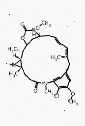 COc1cc2cc(c1Cl)N(C)C(=O)CC[C@]1(C)B[C@@H]1[C@H](C)C1C[C@](OC)(C/C=C/C=C(\C)C2)NC(=O)O1